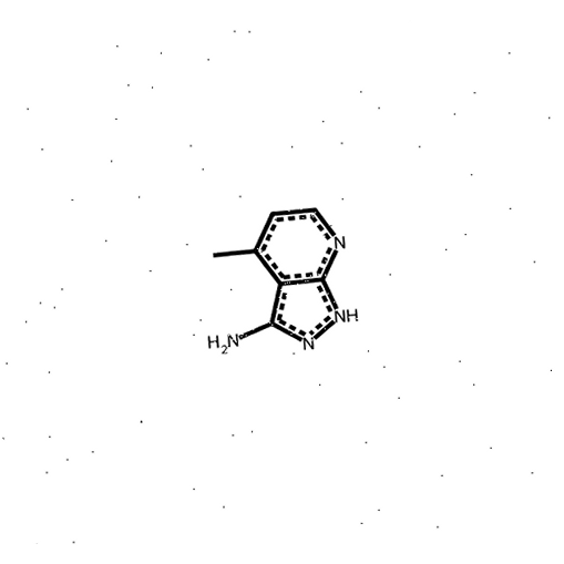 Cc1ccnc2[nH]nc(N)c12